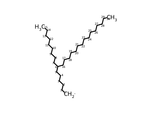 [CH2]CCCCCC(CCCCCCCCC)CCCCCCCCCCCCCCC